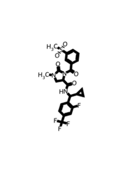 CN1CC(C(=O)NC(c2ccc(C(F)(F)F)cc2F)C2CC2)N(C(=O)c2cccc(S(C)(=O)=O)c2)C1=O